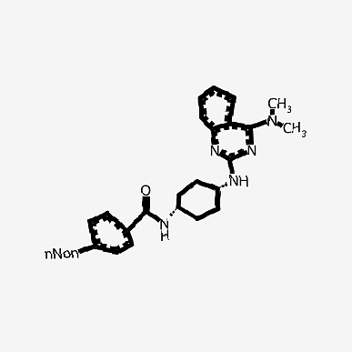 CCCCCCCCCc1ccc(C(=O)N[C@H]2CC[C@@H](Nc3nc(N(C)C)c4ccccc4n3)CC2)cc1